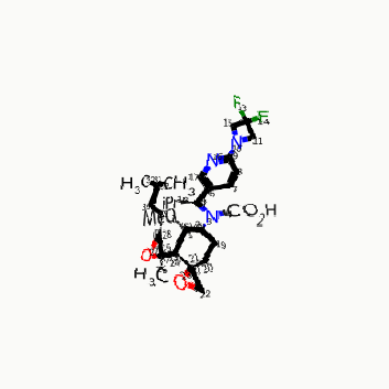 CO[C@@H]1[C@H](N(C(=O)O)[C@H](c2ccc(N3CC(F)(F)C3)nc2)C(C)C)CC[C@]2(CO2)[C@H]1[C@@]1(C)O[C@@H]1CC=C(C)C